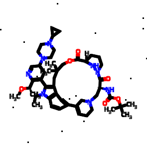 CCn1c(C2=C([C@H](C)OC)N=CC(N3CCN(C4CC4)CC3)C2)c2c3cc(ccc31)C1=CCCN(C1)C[C@H](NC(=O)OC(C)(C)C)C(=O)N1CCC[C@H](N1)C(=O)OCC(C)(C)C2